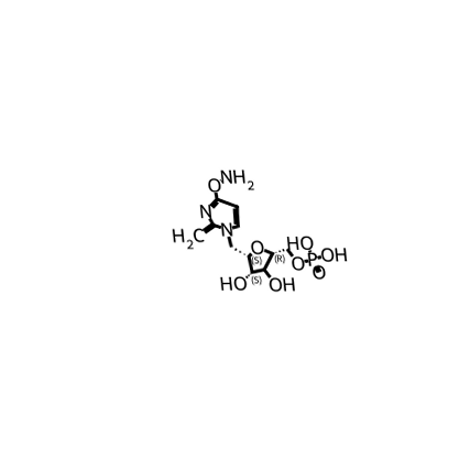 C=C1N=C(ON)C=CN1C[C@@H]1O[C@H](COP(=O)(O)O)C(O)[C@@H]1O